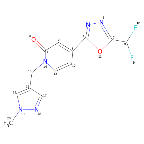 O=c1cc(-c2nnc(C(F)F)o2)ccn1Cc1cnn(C(F)(F)F)c1